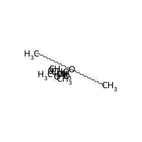 CCCCCCCCCCCCCCCCCCOC(CCCCCCCCCCCCCCCCCC)COC(=O)NCC(C)(C)OCCC(C)(C)OC